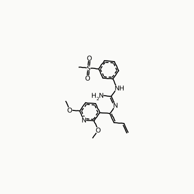 C=C/C=C(\N=C(/N)Nc1cccc(S(C)(=O)=O)c1)c1ccc(OC)nc1OC